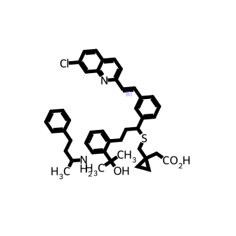 CC(C)(O)c1ccccc1CCC(SCC1(CC(=O)O)CC1)c1cccc(/C=C/c2ccc3ccc(Cl)cc3n2)c1.CC(N)CCc1ccccc1